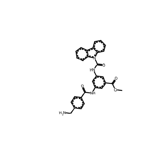 COC(=O)c1cc(NC(=O)c2ccc(CN)cc2)cc(NC(=O)n2c3ccccc3c3ccccc32)c1